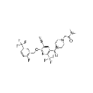 CN(C)C(=O)CN1CCN(C(=O)c2cc(C#N)c(OCc3cc(C(F)(F)F)ccc3F)nc2C(F)(F)F)CC1